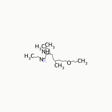 CCC/N=C\C1=C(CCC(C)CCCOCCC)CC(C)(C)N1